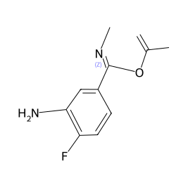 C=C(C)O/C(=N\C)c1ccc(F)c(N)c1